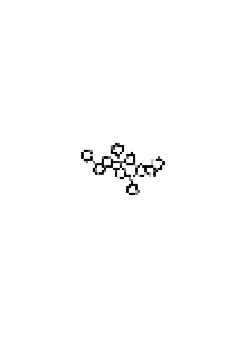 c1ccc(-c2cccc3c4c(ccc23)C(c2ccccc2)(c2ccccc2)c2cc(N(c3ccccc3)c3ccc5c(c3)oc3ccccc35)ccc2-4)cc1